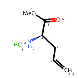 C=CC[C@@H](N)C(=O)OC.Cl